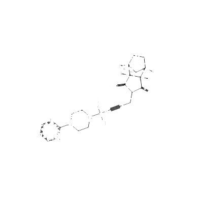 [2H]C([2H])(C#CCC1C(=O)[C@@H]2[C@@H]3CC[C@@H](C3)[C@@H]2C1=O)N1CCN(c2ncccn2)CC1